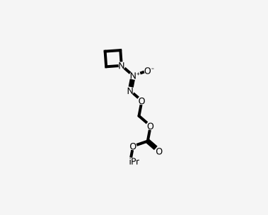 CC(C)OC(=O)OCON=[N+]([O-])N1CCC1